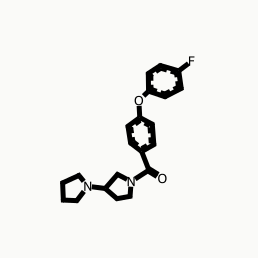 O=C(c1ccc(Oc2ccc(F)cc2)cc1)N1CCC(N2CCCC2)C1